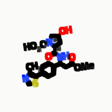 COC(=O)CC(NC(=O)[C@@H]1C[C@@H](O)CN1C(=O)O)c1ccc(-c2scnc2C)cc1